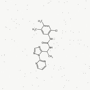 Cc1cc(Cl)c(NC(=O)NC(C)c2ncnn2-c2ncccn2)cc1C